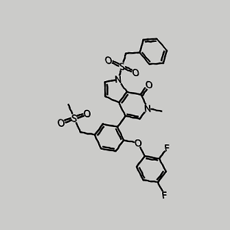 Cn1cc(-c2cc(CS(C)(=O)=O)ccc2Oc2ccc(F)cc2F)c2ccn(S(=O)(=O)Cc3ccccc3)c2c1=O